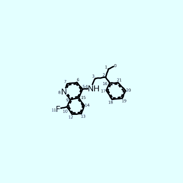 CCC(CNc1ccnc2c(F)cccc12)c1ccccc1